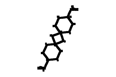 CCCCCCCCCCC1CCC2(CC1)CC1(CCC(CCCCCCCCCC)CC1)C2